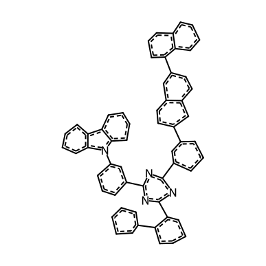 c1ccc(-c2ccccc2-c2nc(-c3cccc(-c4ccc5cc(-c6cccc7ccccc67)ccc5c4)c3)nc(-c3cccc(-n4c5ccccc5c5ccccc54)c3)n2)cc1